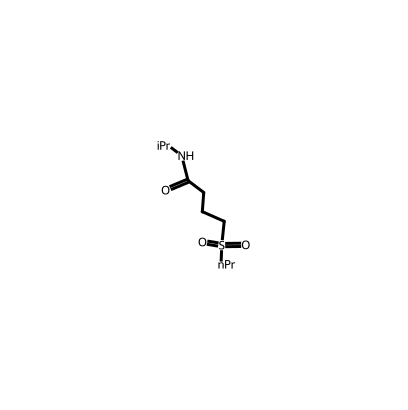 CCCS(=O)(=O)CCCC(=O)NC(C)C